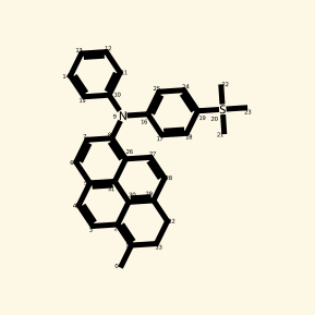 CC1=c2ccc3ccc(N(c4ccccc4)c4ccc(S(C)(C)C)cc4)c4ccc(c2c34)CC1